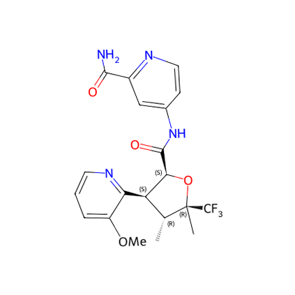 COc1cccnc1[C@H]1[C@@H](C(=O)Nc2ccnc(C(N)=O)c2)O[C@@](C)(C(F)(F)F)[C@@H]1C